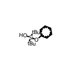 CC(C)(C)[Si](O)(Oc1ccccc1)C(C)(C)C